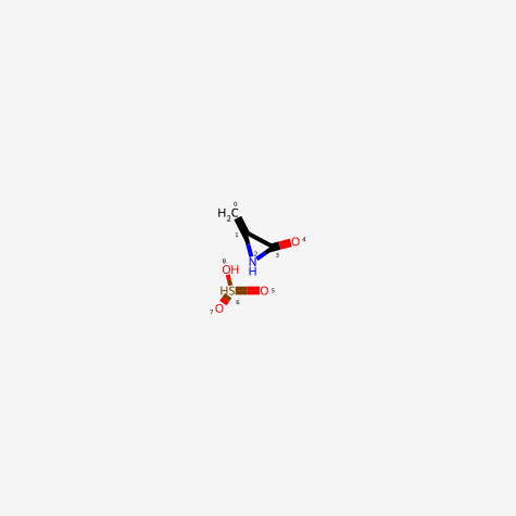 C=C1NC1=O.O=[SH](=O)O